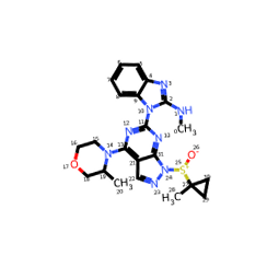 CNc1nc2ccccc2n1-c1nc(N2CCOCC2C)c2cnn([S+]([O-])C3(C)CC3)c2n1